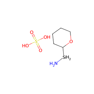 N[SiH2]C1CCCCO1.O=S(=O)(O)O